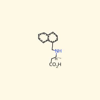 C[C@H](CC(=O)O)NCc1cccc2ccccc12